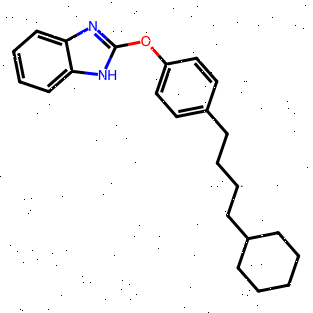 [CH](CCc1ccc(Oc2nc3ccccc3[nH]2)cc1)CC1CCCCC1